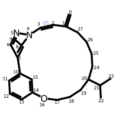 C=C1/C=C\n2ncc(c2C)-c2cccc(c2)OCCCC(C(C)C)CCCC1